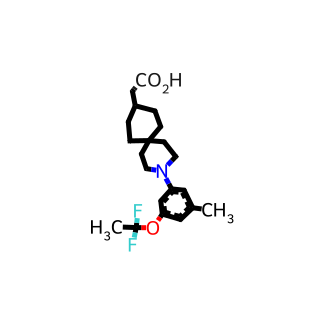 Cc1cc(OC(C)(F)F)cc(N2CCC3(CCC(CC(=O)O)CC3)CC2)c1